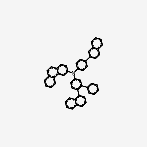 c1ccc(-c2cc(N(c3ccc(-c4ccc5ccccc5c4)cc3)c3ccc4ccc5ccccc5c4c3)ccc2-c2cccc3ccccc23)cc1